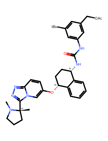 CC(=O)OCc1cc(NC(=O)N[C@H]2CC[C@@H](Oc3ccc4nnc([C@]5(C)CCCN5C)n4c3)c3ccccc32)cc(C(C)(C)C)c1